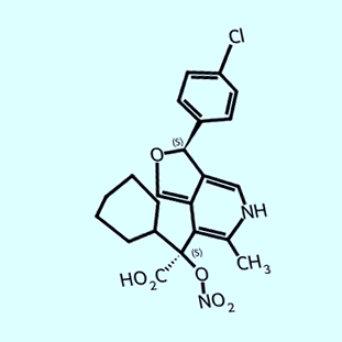 CC1=C([C@](O[N+](=O)[O-])(C(=O)O)C2CCCCC2)C2=CO[C@@H](c3ccc(Cl)cc3)C2=CN1